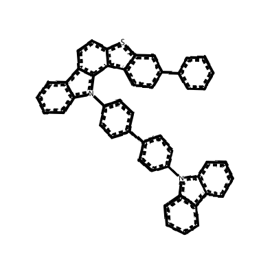 c1ccc(-c2ccc3c(c2)sc2ccc4c5ccccc5n(-c5ccc(-c6ccc(-n7c8ccccc8c8ccccc87)cc6)cc5)c4c23)cc1